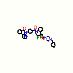 O=C(Nc1ccc(C(=O)N2CCC(F)(F)C(=CC(=O)N3CCN(Cc4ccccc4)CC3)c3ccccc32)cc1)c1ccccc1-c1ccccc1